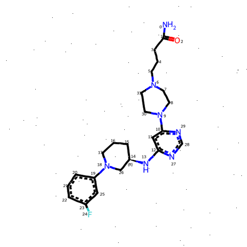 NC(=O)CCCN1CCN(c2cc(N[C@@H]3CCCN(c4cccc(F)c4)C3)ncn2)CC1